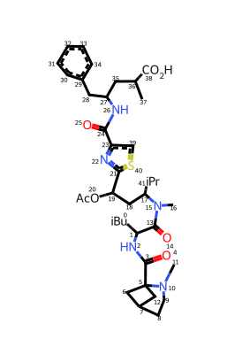 CCC(C)C(NC(=O)C12CC(CCN1C)C2)C(=O)N(C)C(CC(OC(C)=O)c1nc(C(=O)NC(Cc2ccccc2)CC(C)C(=O)O)cs1)C(C)C